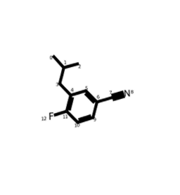 CC(C)Cc1cc(C#N)ccc1F